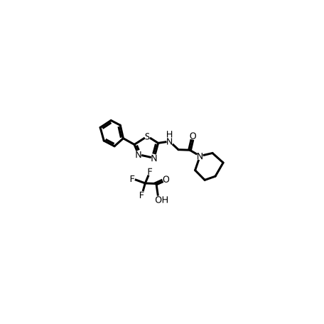 O=C(CNc1nnc(-c2ccccc2)s1)N1CCCCC1.O=C(O)C(F)(F)F